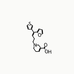 O=C(O)C1=CCCN(CCC=C(c2ccsc2)c2ccco2)C1